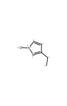 CCc1cc[s+]([O-])n1